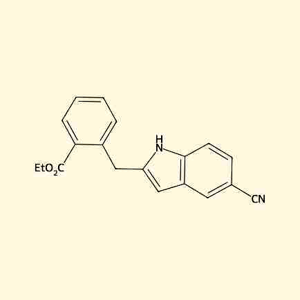 CCOC(=O)c1ccccc1Cc1cc2cc(C#N)ccc2[nH]1